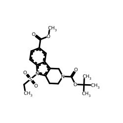 CCS(=O)(=O)n1c2c(c3cc(C(=O)OC)ccc31)CN(C(=O)OC(C)(C)C)CC2